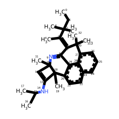 CCC(C)(C)/C(C)=C1/C2=NC3(C)C=C(NC(C)C)C3(C)c3ccc4cccc(c4c32)C1(C)C